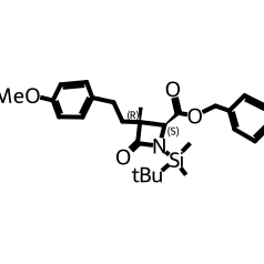 COc1ccc(CC[C@@]2(C)C(=O)N([Si](C)(C)C(C)(C)C)[C@@H]2C(=O)OCc2ccccc2)cc1